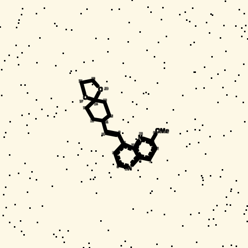 COc1ccc2nccc(/C=C/C3CCC4(CC3)OCCO4)c2n1